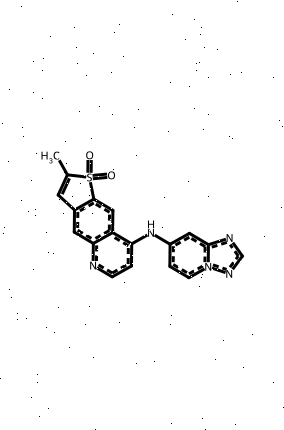 CC1=Cc2cc3nccc(Nc4ccn5ncnc5c4)c3cc2S1(=O)=O